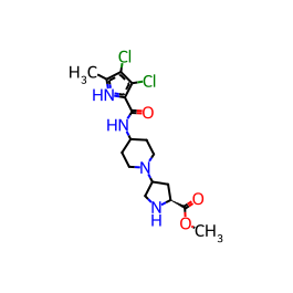 COC(=O)[C@@H]1CC(N2CCC(NC(=O)c3[nH]c(C)c(Cl)c3Cl)CC2)CN1